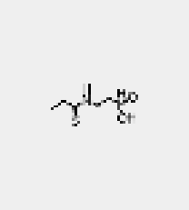 CCC(=S)NCC[PH](=O)O